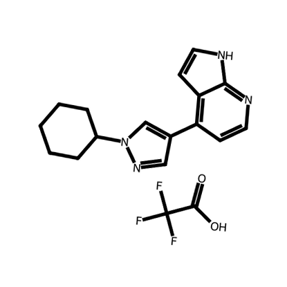 O=C(O)C(F)(F)F.c1cc(-c2cnn(C3CCCCC3)c2)c2cc[nH]c2n1